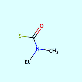 CCN(C)C(=O)[S]